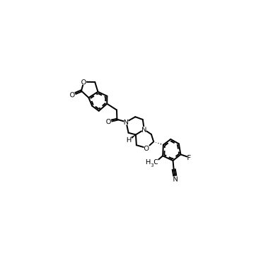 Cc1c([C@H]2CN3CCN(C(=O)Cc4ccc5c(c4)COC5=O)C[C@H]3CO2)ccc(F)c1C#N